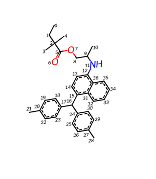 CCC(C)(C)C(=O)OCC(C)Nc1ccc(C(c2ccc(C)cc2)c2ccc(C)cc2)c2ccccc12